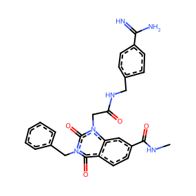 CNC(=O)c1ccc2c(=O)n(Cc3ccccc3)c(=O)n(CC(=O)NCc3ccc(C(=N)N)cc3)c2c1